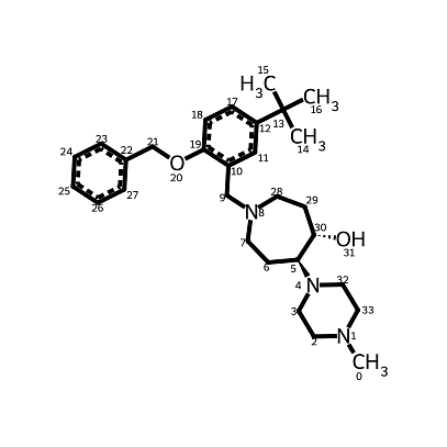 CN1CCN([C@H]2CCN(Cc3cc(C(C)(C)C)ccc3OCc3ccccc3)CC[C@@H]2O)CC1